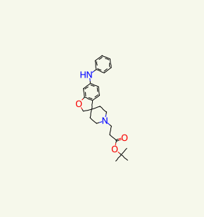 CC(C)(C)OC(=O)CCN1CCC2(CC1)COc1cc(Nc3ccccc3)ccc12